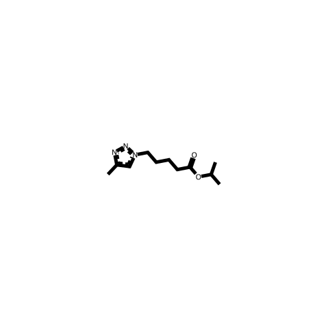 Cc1cn(CCCCC(=O)OC(C)C)nn1